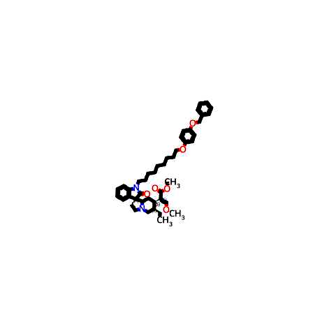 CC[C@H]1CN2CC[C@]3(C(=O)N(CCCCCCCCCOc4ccc(OCc5ccccc5)cc4)c4ccccc43)C2C[C@@H]1/C(=C\OC)C(=O)OC